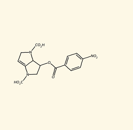 O=C(OC1CN(C(=O)O)C2=CCN(C(=O)O)C21)c1ccc([N+](=O)[O-])cc1